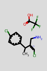 CC(/C(=C\Cl)CN)c1ccc(Cl)cc1.O=C(O)C(F)(F)F